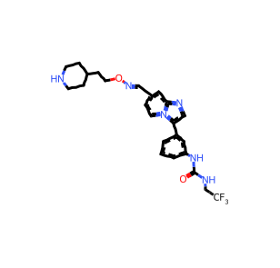 O=C(NCC(F)(F)F)Nc1cccc(-c2cnc3cc(/C=N/OCCC4CCNCC4)ccn23)c1